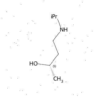 CC(C)NCC[C@H](C)O